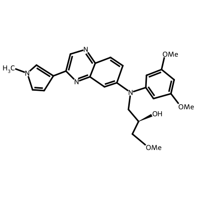 COC[C@H](O)CN(c1cc(OC)cc(OC)c1)c1ccc2ncc(-c3ccn(C)c3)nc2c1